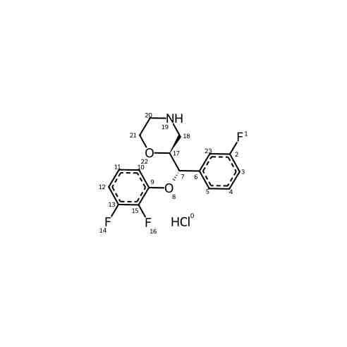 Cl.Fc1cccc([C@H](Oc2cccc(F)c2F)[C@@H]2CNCCO2)c1